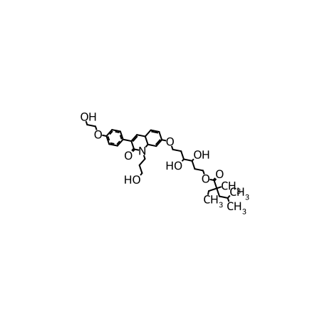 CCC(C)(CC(C)C)C(=O)OCCC(O)C(O)CCOC1=CC2C(C=C1)C=C(c1ccc(OCCO)cc1)C(=O)N2CCCO